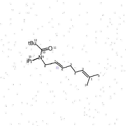 CC(C)=CCC/C=C/CN(C(=O)C(C)(C)C)C(C)C